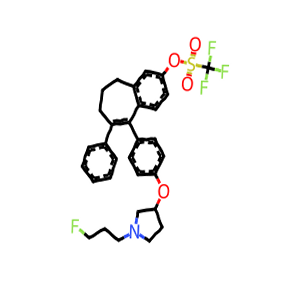 O=S(=O)(Oc1ccc2c(c1)CCCC(c1ccccc1)=C2c1ccc(OC2CCN(CCCF)C2)cc1)C(F)(F)F